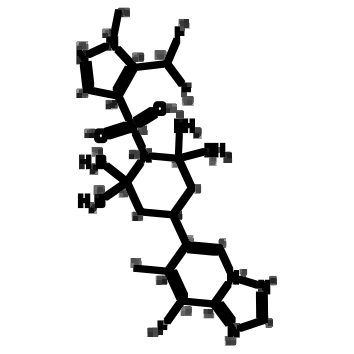 BC1(B)CC(c2cn3ncnc3c(F)c2C)CC(B)(B)N1S(=O)(=O)c1cnn(C)c1C(F)F